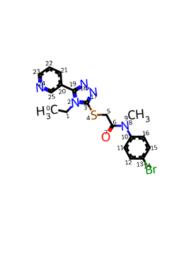 CCn1c(SCC(=O)N(C)c2ccc(Br)cc2)nnc1-c1cccnc1